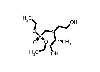 CCOP(=O)(CN(CCO)[C@H](C)CO)OCC